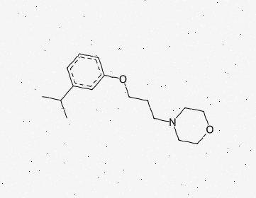 CC(C)c1cccc(OCCCN2CCOCC2)c1